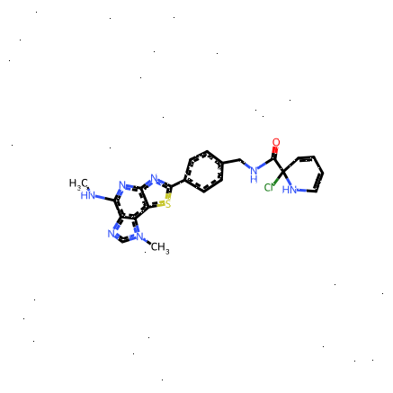 CNc1nc2nc(-c3ccc(CNC(=O)C4(Cl)C=CC=CN4)cc3)sc2c2c1ncn2C